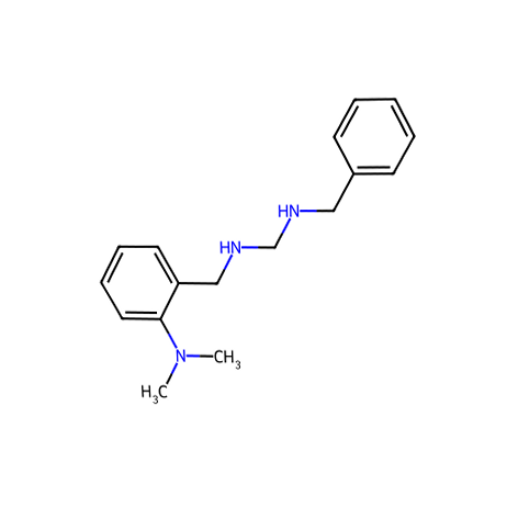 CN(C)c1ccccc1CNCNCc1ccccc1